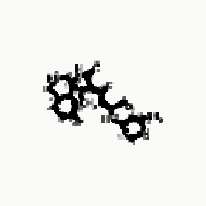 CN1/C(=C(Cl)\C=C(/C=O)Nc2cc(N)ncn2)C(=O)NC12CNCc1ccc(F)cc12